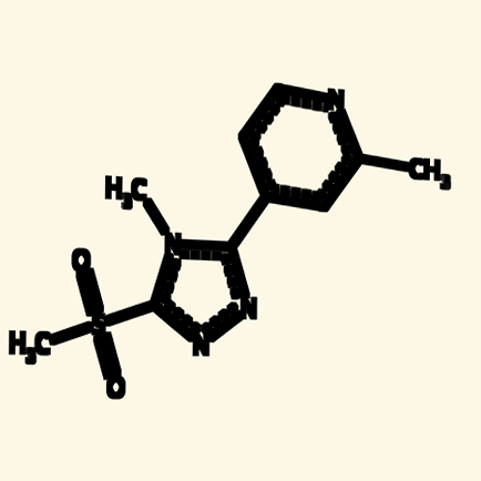 Cc1cc(-c2nnc(S(C)(=O)=O)n2C)ccn1